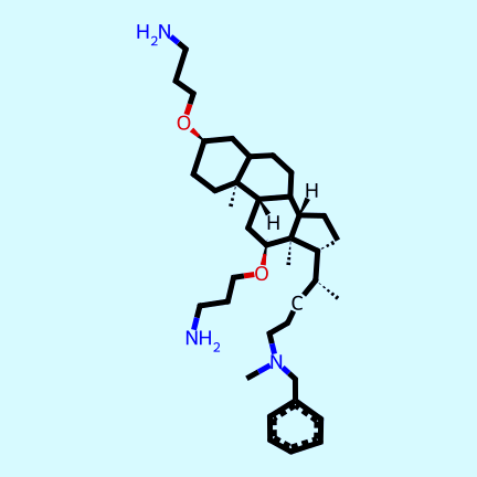 C[C@H](CCCN(C)Cc1ccccc1)[C@H]1CC[C@H]2C3CCC4C[C@H](OCCCN)CC[C@]4(C)[C@H]3C[C@H](OCCCN)[C@]12C